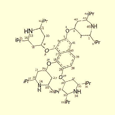 CC(C)C1CC(Oc2cc(OC3CC(C(C)C)NC(C(C)C)C3)c3c(OC4CC(C(C)C)NC(C(C)C)C4)c(OC4CC(C(C)C)NC(C(C)C)C4)ccc3c2)CC(C(C)C)N1